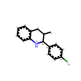 CC1Cc2ccccc2NC1c1ccc(F)cc1